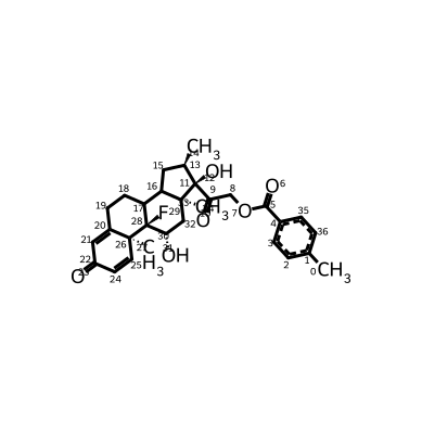 Cc1ccc(C(=O)OCC(=O)[C@@]2(O)[C@H](C)CC3C4CCC5=CC(=O)C=C[C@]5(C)[C@@]4(F)[C@@H](O)C[C@@]32C)cc1